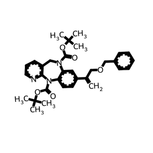 C=C(COCc1ccccc1)c1ccc2c(c1)N(C(=O)OC(C)(C)C)Cc1cccnc1N2C(=O)OC(C)(C)C